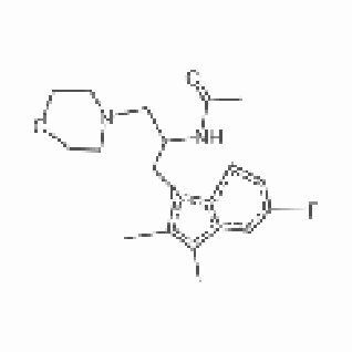 CC(=O)NC(CN1CCOCC1)Cn1c(C)c(C)c2cc(F)ccc21